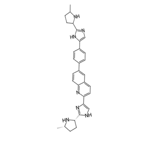 CC1CCC(c2ncc(-c3ccc(-c4ccc5nc(-c6c[nH]c([C@@H]7CC[C@H](C)N7)n6)ccc5c4)cc3)[nH]2)N1